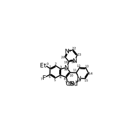 CCc1cc2c(cc1F)c(C#N)c(C1C=CC=CN1C(C)(C)C)n2-c1cnccn1